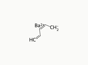 [Ba+2].[CH-]=C/C=C\[CH2-]